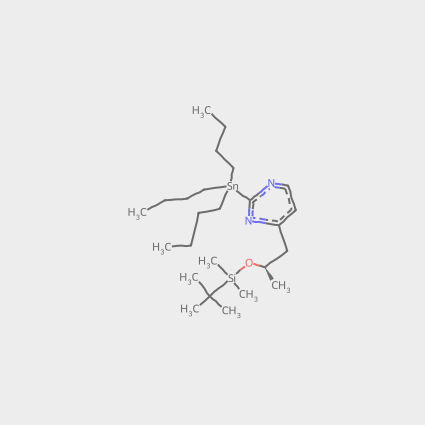 CCC[CH2][Sn]([CH2]CCC)([CH2]CCC)[c]1nccc(C[C@@H](C)O[Si](C)(C)C(C)(C)C)n1